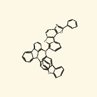 c1ccc(-c2nc3ccc4oc5c(N(c6ccc7oc8ccccc8c7c6)c6cccc7c8ccccc8n(-c8ccccc8)c67)cccc5c4c3o2)cc1